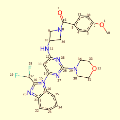 COc1ccc(C(=O)N2CC(Nc3cc(-n4c(C(F)F)nc5ccccc54)nc(N4CCOCC4)n3)C2)cc1